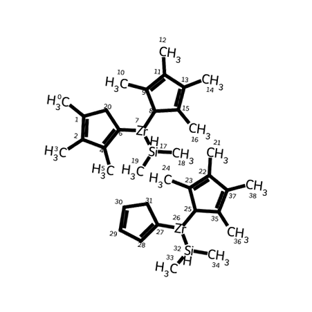 CC1=C(C)C(C)=[C]([Zr]([CH]2C(C)=C(C)C(C)=C2C)[SiH](C)C)C1.CC1=C(C)[CH]([Zr]([C]2=CC=CC2)[SiH](C)C)C(C)=C1C